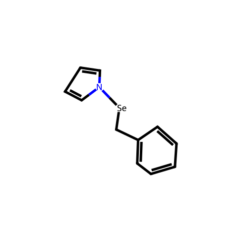 c1ccc(C[Se]n2cccc2)cc1